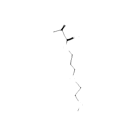 C=C(C)C(=O)OCCCOCCOC